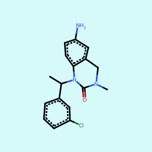 CC(c1cccc(Cl)c1)N1C(=O)N(C)Cc2cc(N)ccc21